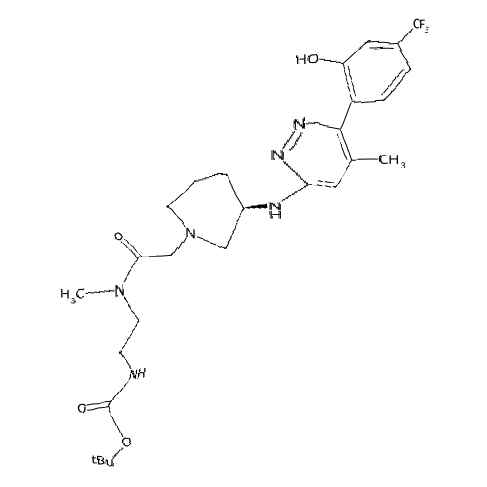 Cc1cc(N[C@@H]2CCCN(CC(=O)N(C)CCNC(=O)OC(C)(C)C)C2)nnc1-c1ccc(C(F)(F)F)cc1O